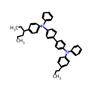 CCCc1ccc(N(c2ccccc2)c2ccc(-c3ccc(N(c4ccccc4)c4ccc(C(CC)CCC)cc4)cc3)cc2)cc1